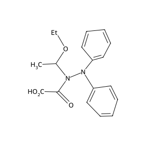 CCOC(C)N(C(=O)C(=O)O)N(c1ccccc1)c1ccccc1